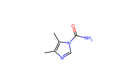 Cc1ncn(C(N)=O)c1C